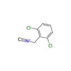 [C-]#[N+]Cc1c(Cl)cccc1Cl